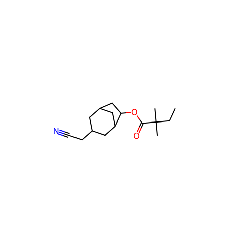 CCC(C)(C)C(=O)OC1CC2CC(CC#N)CC1C2